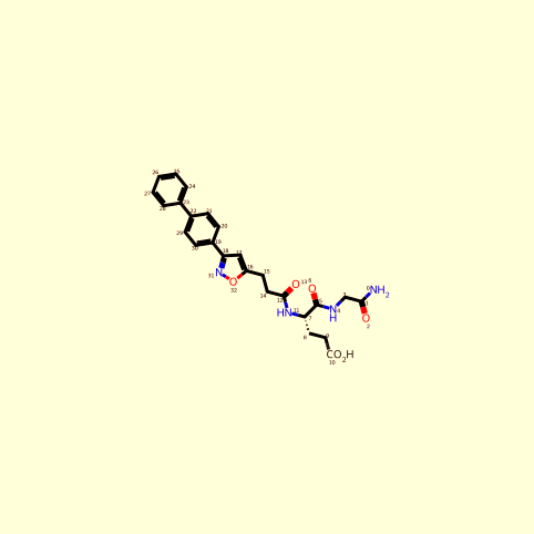 NC(=O)CNC(=O)[C@H](CCC(=O)O)NC(=O)CCc1cc(-c2ccc(-c3ccccc3)cc2)no1